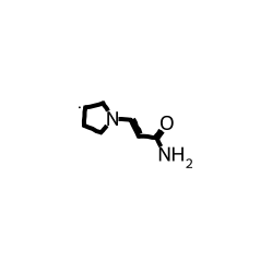 NC(=O)C=CN1C[CH]CC1